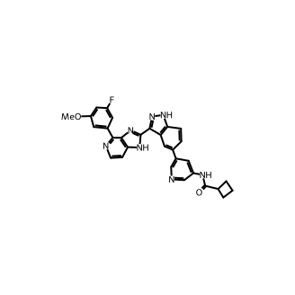 COc1cc(F)cc(-c2nccc3[nH]c(-c4n[nH]c5ccc(-c6cncc(NC(=O)C7CCC7)c6)cc45)nc23)c1